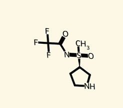 CS(=O)(=NC(=O)C(F)(F)F)[C@@H]1CCNC1